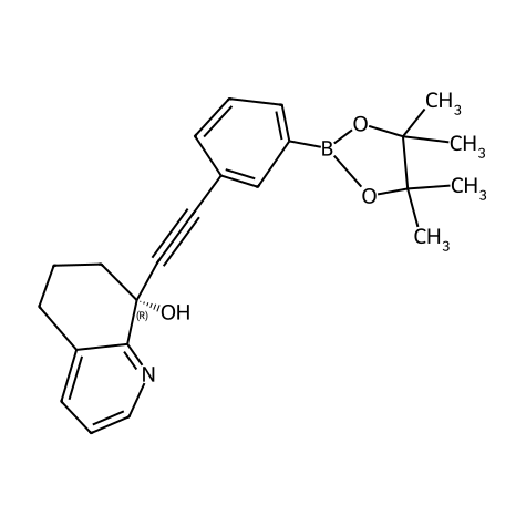 CC1(C)OB(c2cccc(C#C[C@]3(O)CCCc4cccnc43)c2)OC1(C)C